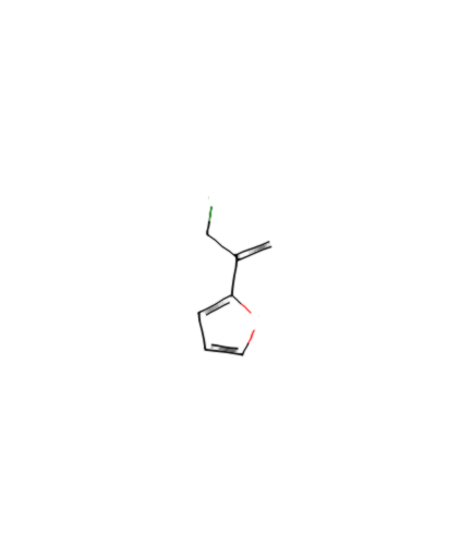 C=C(CCl)c1ccco1